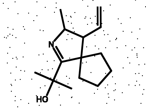 C=CC1C(C)N=C(C(C)(C)O)C12CCCC2